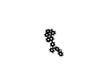 c1ccc(N(c2ccc(-c3ccc(N(c4ccccc4)c4cccc5sc6ccccc6c45)c4ccccc34)cc2)c2ccc3oc4ccccc4c3c2)cc1